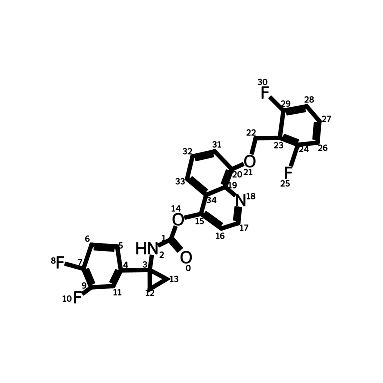 O=C(NC1(c2ccc(F)c(F)c2)CC1)Oc1ccnc2c(OCc3c(F)cccc3F)cccc12